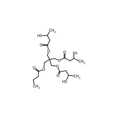 CCCC(=O)OCC(COC(=O)CC(C)S)(COC(=O)CC(C)S)COC(=O)CC(C)S